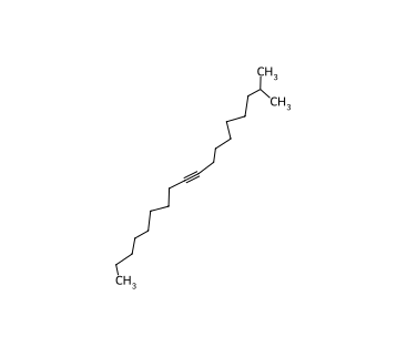 CCCCCCCCC#CCCCCCCC(C)C